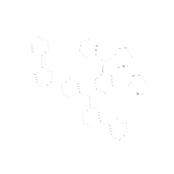 c1ccc(-c2cccc(-c3ccc(N(c4cccc(-c5ccccc5)c4)c4ccc5c6c(-c7ccccc7)cccc6n(-c6ccccc6)c5c4)cc3)c2)cc1